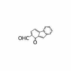 O=CC1=CC=C2C(=Cc3ccccc32)C1=O